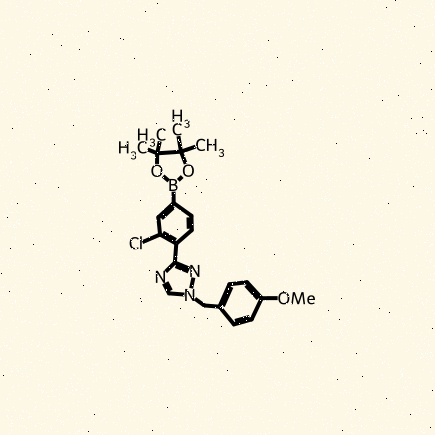 COc1ccc(Cn2cnc(-c3ccc(B4OC(C)(C)C(C)(C)O4)cc3Cl)n2)cc1